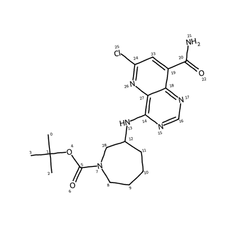 CC(C)(C)OC(=O)N1CCCCC(Nc2ncnc3c(C(N)=O)cc(Cl)nc23)C1